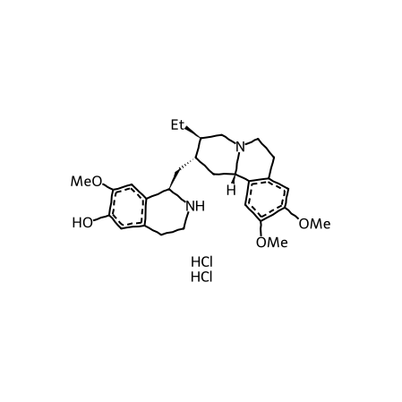 CC[C@H]1CN2CCc3cc(OC)c(OC)cc3[C@@H]2C[C@@H]1C[C@H]1NCCc2cc(O)c(OC)cc21.Cl.Cl